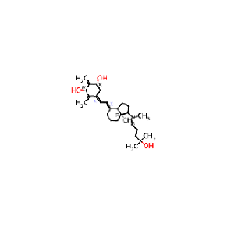 C=C1/C(=C/C=C2\CCC[C@@]3(C)C2CCC3[C@@H](C)CCCC(C)(C)O)C[C@@H](O)C(=C)[C@@H]1O